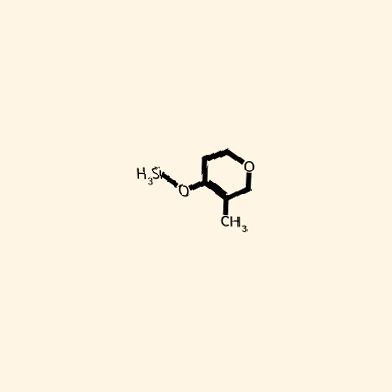 CC1=C(O[SiH3])CCOC1